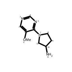 COc1cncnc1N1CCC(N)C1